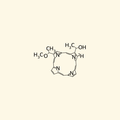 [2H]C1=C(C(C)O)C2=CC3=NC(=CC4=NC(=CC5=NC(=CC1=N2)C=C5)C=C4)C(C(C)OC)=C3